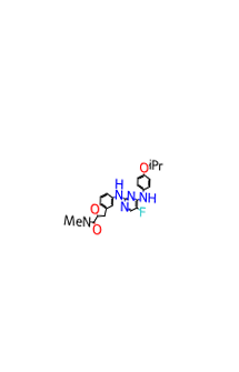 CNC(=O)C1Cc2cc(Nc3ncc(F)c(Nc4ccc(OC(C)C)cc4)n3)ccc2O1